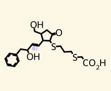 O=C(O)CSCCCSC1C(=O)CC(CO)C1/C=C/C(O)Cc1ccccc1